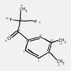 Cc1ccc(C(=O)C(C)(F)F)cc1C